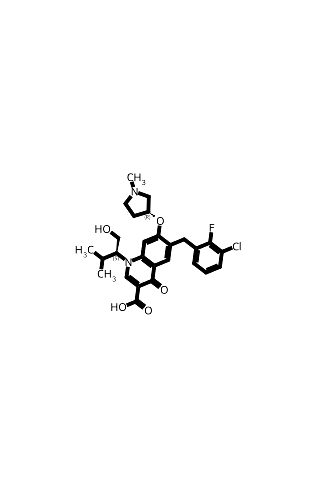 CC(C)[C@@H](CO)n1cc(C(=O)O)c(=O)c2cc(Cc3cccc(Cl)c3F)c(O[C@@H]3CCN(C)C3)cc21